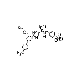 CCS(=O)(=O)c1ccc([C@H](CO)NC(=O)c2cnc(N3CC(c4ccc(C(F)(F)F)cc4)C[C@H]3COCC3CC3)nc2)cc1